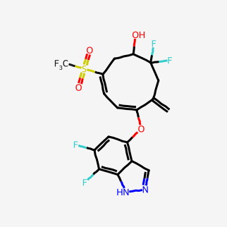 C=C1CC(F)(F)C(O)C/C(S(=O)(=O)C(F)(F)F)=C\C=C/1Oc1cc(F)c(F)c2[nH]ncc12